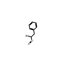 O=[S+]C(Br)Cc1ccccc1